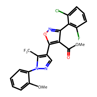 COC(=O)c1c(-c2c(F)cccc2Cl)noc1-c1cnn(-c2ccccc2OC)c1C(F)(F)F